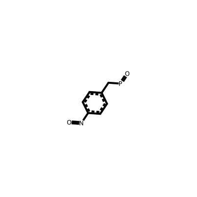 O=Nc1ccc(CP=O)cc1